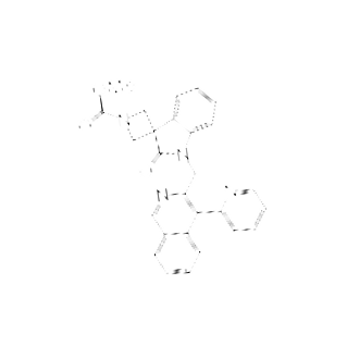 COC(=O)N1CC2(C1)C(=O)N(Cc1ncc3ccccc3c1-c1ccccn1)c1ccccc12